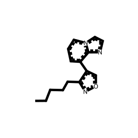 CCCCCc1nocc1-c1cccn2ccnc12